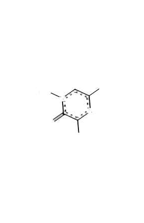 Cn1cc(Cl)nc(Cl)c1=O